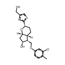 Cc1ccc(OC[C@@H]2[C@H]3CC[C@H](c4nc(CO)cs4)O[C@H]3C[C@@H]2O)cc1Cl